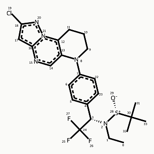 CCN([C@@H](c1ccc(N2CCCc3c2cnc2cc(Cl)nn32)cc1)C(F)(F)F)[S@+]([O-])C(C)(C)C